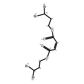 O=C(/C=C\C(=O)OCCC(Br)Br)OCCC(Br)Br